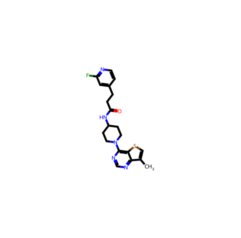 Cc1csc2c(N3CCC(NC(=O)CCc4ccnc(F)c4)CC3)ncnc12